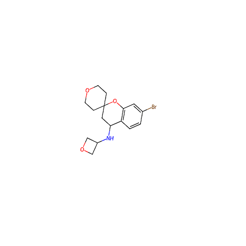 Brc1ccc2c(c1)OC1(CCOCC1)CC2NC1COC1